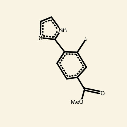 COC(=O)c1ccc(-c2ncc[nH]2)c(I)c1